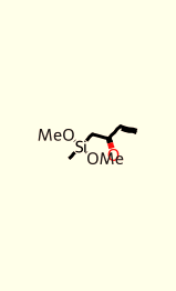 C=CC(=O)C[Si](C)(OC)OC